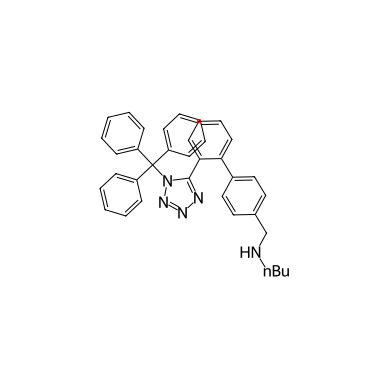 CCCCNCc1ccc(-c2ccccc2-c2nnnn2C(c2ccccc2)(c2ccccc2)c2ccccc2)cc1